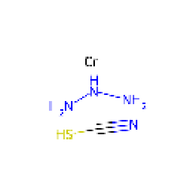 N#CS.NNN.[Cr]